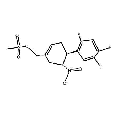 CS(=O)(=O)OCC1=CC[C@@H](c2cc(F)c(F)cc2F)[C@H]([N+](=O)[O-])C1